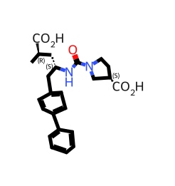 C[C@H](C[C@@H](Cc1ccc(-c2ccccc2)cc1)NC(=O)N1CC[C@H](C(=O)O)C1)C(=O)O